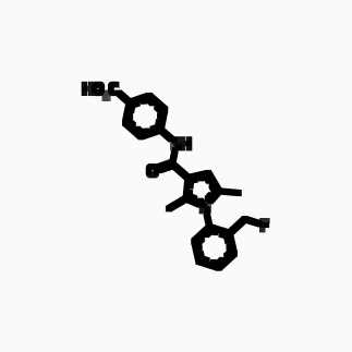 Cc1cc(C(=O)Nc2ccc(C(=O)O)cc2)c(C)n1-c1ccccc1CF